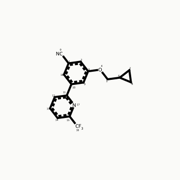 N#Cc1cc(OCC2CC2)cc(-c2cccc(C(F)(F)F)n2)c1